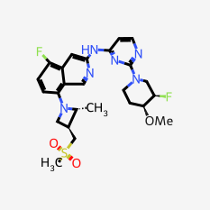 CO[C@H]1CCN(c2nccc(Nc3cc4c(F)ccc(N5C[C@H](CS(C)(=O)=O)[C@H]5C)c4cn3)n2)C[C@H]1F